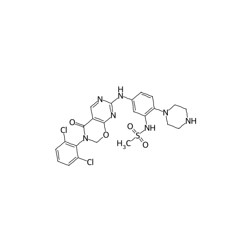 CS(=O)(=O)Nc1cc(Nc2ncc3c(n2)OCN(c2c(Cl)cccc2Cl)C3=O)ccc1N1CCNCC1